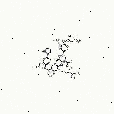 CC[C@H](C)[C@H](NC(=O)[C@H](CCCNC(=N)N)NC(=O)[C@H](CO)NC(=O)[C@H](CC(=O)O)NC(=O)[C@@H]1CCCN1)C(=O)N[C@@H](CCC(N)=O)C(=O)N[C@@H](CC(=O)O)C(=O)N[C@@H](CC(=O)O)C(=O)O